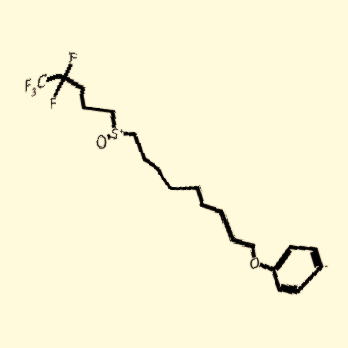 [O-][S+](CCCCCCCCCOc1cc[c]cc1)CCCC(F)(F)C(F)(F)F